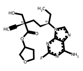 C#C[C@@](CO)(CC[C@@H](CC)n1cnc2c(N)nc(F)nc21)C(=O)OC1CCOC1